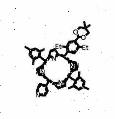 CCc1cc(C2OCC(C)(C)CO2)c(CC)cc1-c1c2nc(c(-c3c(C)cc(C)cc3C)c3ccc([nH]3)c(-c3ccncc3)c3nc(c(-c4c(C)cc(C)cc4C)c4ccc1[nH]4)C=C3)C=C2